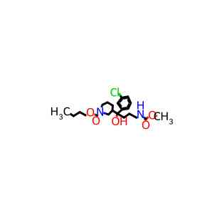 CCCCOC(=O)N1CCCC(C(O)(CCCNC(=O)OC)c2cccc(Cl)c2)C1